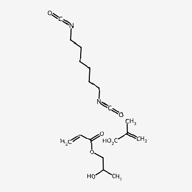 C=C(C)C(=O)O.C=CC(=O)OCC(C)O.O=C=NCCCCCCN=C=O